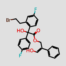 O=C(OCC(=CO)c1ccccc1)C(O)(c1ccc(F)cc1)c1ccc(F)cc1CCBr